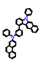 c1ccc(N(c2cccc(-c3cccc4c3c3cc5ccccc5cc3n4-c3ccccc3)c2)c2ccc3c(ccc4ccccc43)c2)cc1